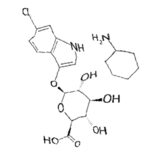 NC1CCCCC1.O=C(O)[C@H]1O[C@@H](Oc2c[nH]c3cc(Cl)ccc23)[C@H](O)[C@@H](O)[C@@H]1O